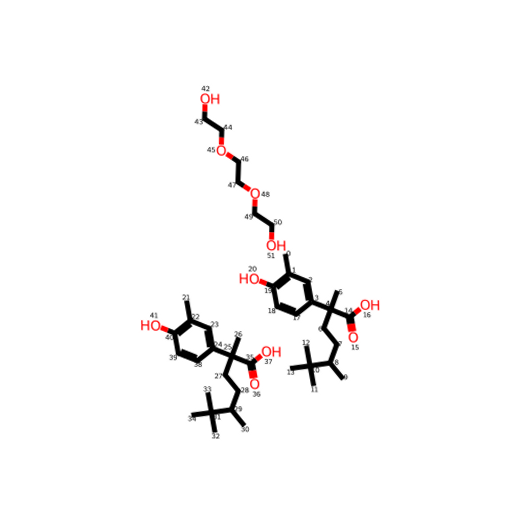 Cc1cc(C(C)(CCC(C)C(C)(C)C)C(=O)O)ccc1O.Cc1cc(C(C)(CCC(C)C(C)(C)C)C(=O)O)ccc1O.OCCOCCOCCO